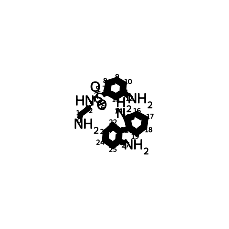 NCCNS(=O)(=O)c1cccc(N)c1.Nc1ccccc1-c1ccccc1N